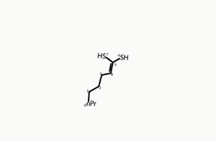 CCCCCCC=C(S)S